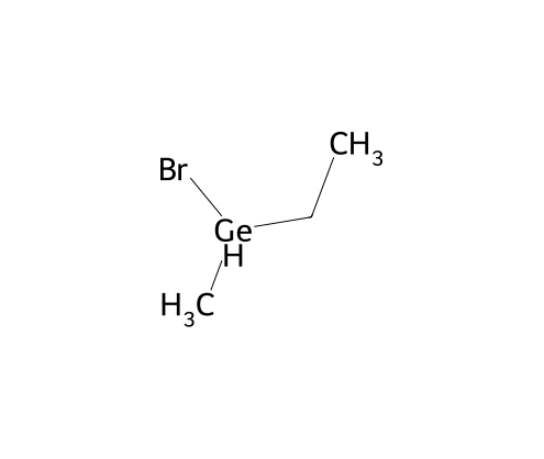 C[CH2][GeH]([CH3])[Br]